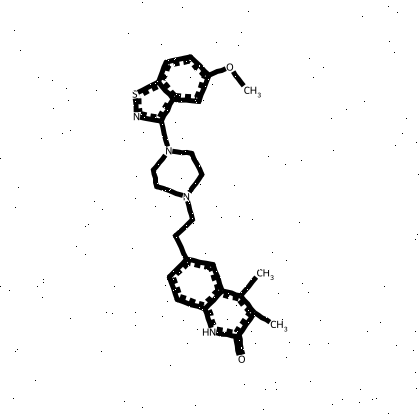 COc1ccc2snc(N3CCN(CCc4ccc5[nH]c(=O)c(C)c(C)c5c4)CC3)c2c1